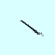 CCCCCCCCCCCCCCCCCCSOCCN